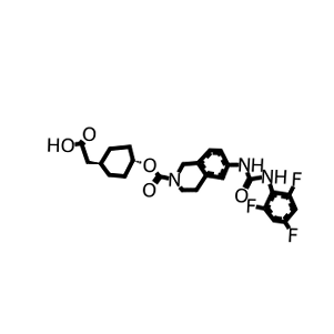 O=C(O)C[C@H]1CC[C@H](OC(=O)N2CCc3cc(NC(=O)Nc4c(F)cc(F)cc4F)ccc3C2)CC1